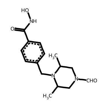 CC1CN(C=O)CC(C)N1Cc1ccc(C(=O)NO)cc1